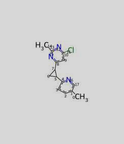 Cc1ccc(C2CC2c2cc(Cl)nc(C)n2)nc1